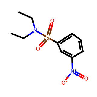 [CH2]CN(CC)S(=O)(=O)c1cccc([N+](=O)[O-])c1